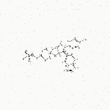 CS(=O)(=O)OCC1CCC2(CC1)Cc1nc(-c3ccc(F)cc3)c(-c3ccc4ncnn4c3)n1C2